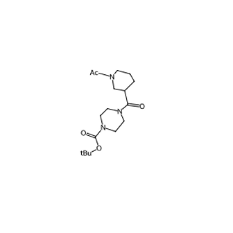 CC(=O)N1CCCC(C(=O)N2CCN(C(=O)OC(C)(C)C)CC2)C1